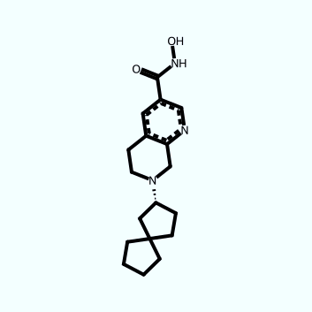 O=C(NO)c1cnc2c(c1)CCN([C@@H]1CCC3(CCCC3)C1)C2